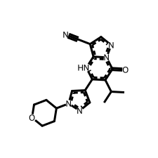 CC(C)c1c(-c2cnn(C3CCOCC3)c2)[nH]c2c(C#N)cnn2c1=O